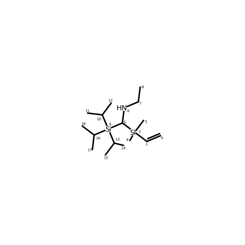 C=C[Si](C)(C)C(NCC)[Si](C(C)C)(C(C)C)C(C)C